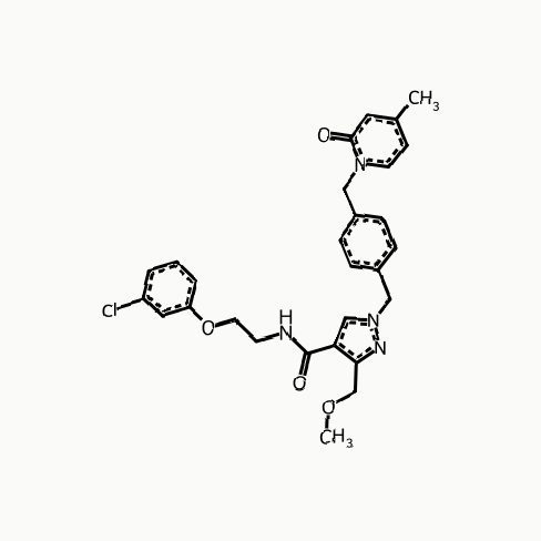 COCc1nn(Cc2ccc(Cn3ccc(C)cc3=O)cc2)cc1C(=O)NCCOc1cccc(Cl)c1